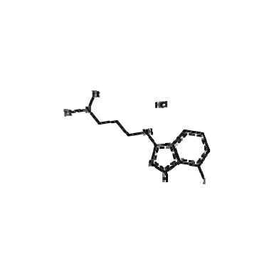 CCN(CC)CCCNc1n[nH]c2c(I)cccc12.Cl